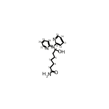 NC(=O)CCCCCC(O)N(c1ccccn1)c1ccccn1